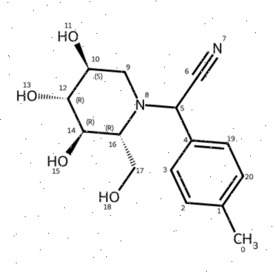 Cc1ccc(C(C#N)N2C[C@H](O)[C@@H](O)[C@H](O)[C@H]2CO)cc1